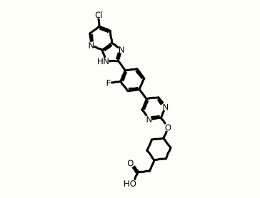 O=C(O)CC1CCC(Oc2ncc(-c3ccc(-c4nc5cc(Cl)cnc5[nH]4)c(F)c3)cn2)CC1